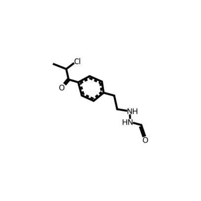 CC(Cl)C(=O)c1ccc(CCNNC=O)cc1